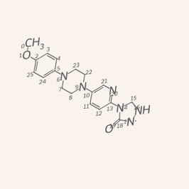 COc1ccc(N2CCN(c3ccc(N4CN[N]C4=O)nc3)CC2)cc1